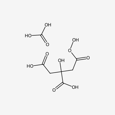 O=C(O)CC(O)(CC(=O)OO)C(=O)O.O=C(O)O